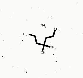 CCCC(C)(O)CCC.N